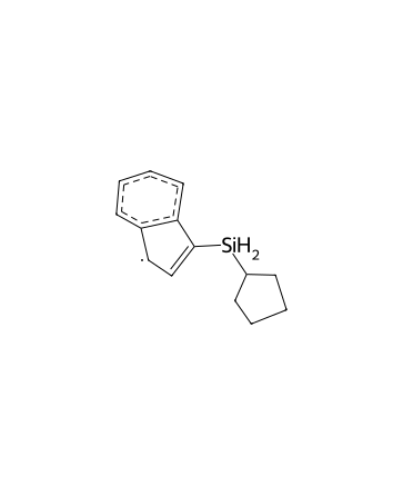 [CH]1C=C([SiH2]C2CCCC2)c2ccccc21